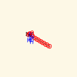 COCCOCCOCCOCCOCCOCCOCCOCCOCCOCCOCCOCCC(=O)NCCCC[C@H](NC(=O)OCC1c2ccccc2-c2ccccc21)C(=O)NCC(=O)OC(C)(C)C